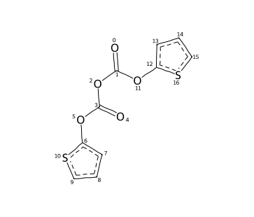 O=C(OC(=O)Oc1cccs1)Oc1cccs1